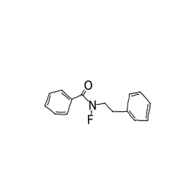 O=C(c1ccccc1)N(F)CCc1ccccc1